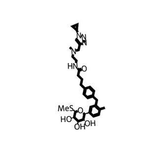 CS[C@H]1O[C@@H](c2ccc(C)c(Cc3ccc(CCCC(=O)NCCN(C)Cc4cn(C5CC5)nn4)cc3)c2)[C@H](O)[C@@H](O)[C@@H]1O